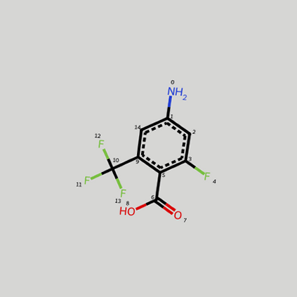 Nc1cc(F)c(C(=O)O)c(C(F)(F)F)c1